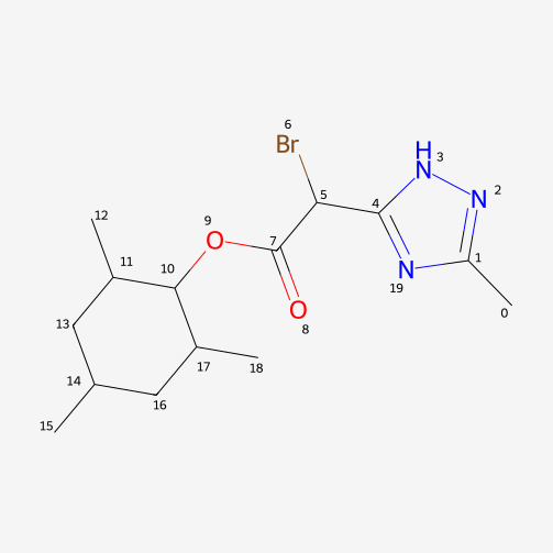 Cc1n[nH]c(C(Br)C(=O)OC2C(C)CC(C)CC2C)n1